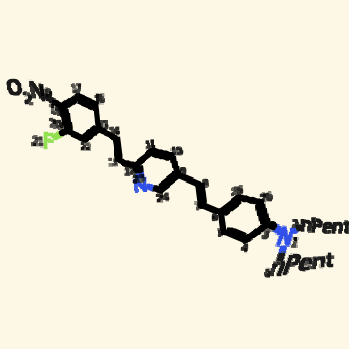 CCCCCN(CCCCC)c1ccc(/C=C/c2ccc(/C=C/c3ccc([N+](=O)[O-])c(F)c3)nc2)cc1